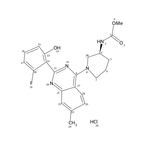 COC(=O)N[C@H]1CCCN(c2nc(-c3c(O)cccc3F)nc3cc(C)ccc23)C1.Cl